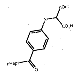 CCCCCCCCC(Sc1ccc(C(=O)CCCCCCC)cc1)C(=O)O